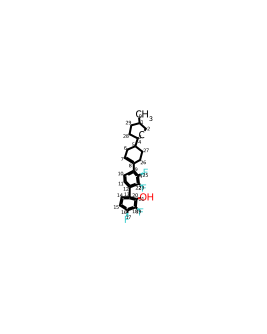 CC1CCC(C2CC=C(c3ccc(-c4ccc(F)c(F)c4O)c(F)c3F)CC2)CC1